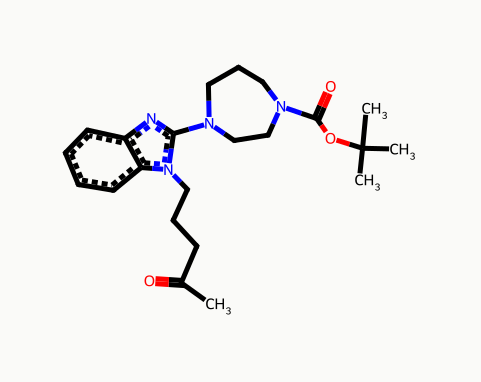 CC(=O)CCCn1c(N2CCCN(C(=O)OC(C)(C)C)CC2)nc2ccccc21